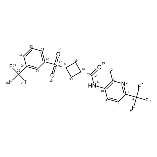 Cc1nc(C(F)(F)F)ccc1NC(=O)[C@H]1C[C@@H](S(=O)(=O)c2cccc(C(F)(F)F)c2)C1